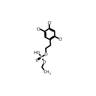 CCOP(O)(=S)OCCc1cc(Cl)c(Cl)cc1Cl